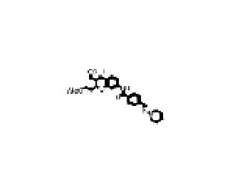 COCCC1Oc2cc(NC(=O)c3ccc(C=NN4CCCCC4)cc3)ccc2CC1CC(=O)O